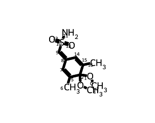 COC1(OC)C(C)=CC(=CS(N)(=O)=O)C=C1C